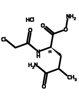 CC(C[C@H](NC(=O)CCl)C(=O)ON)C(N)=O.Cl